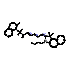 C=C(/C=C/C=C/C=C1\N(CCCC)c2ccc3ccccc3c2C1(C)C)C(C)(C)c1c(C)ccc2ccccc12